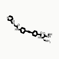 NC[C@H](NC(=O)c1ccc(C#Cc2ccc(NC(=O)CNCc3cccnc3)cc2)cc1)C(=O)NO